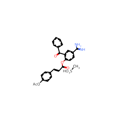 CC(=O)Oc1ccc(C=CC(=O)Oc2ccc(C(=N)N)cc2C(=O)c2ccccc2)cc1.CS(=O)(=O)O